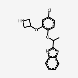 CC(Oc1ccc(Cl)cc1OC1CNC1)c1nc2ccccc2s1